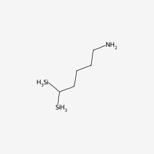 NCCCCC([SiH3])[SiH3]